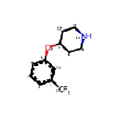 FC(F)(F)c1cccc(OC2CCNCC2)c1